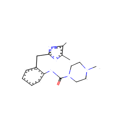 Cc1nc(Cc2ccccc2NC(=O)N2CCN(C)CC2)[nH]c1C